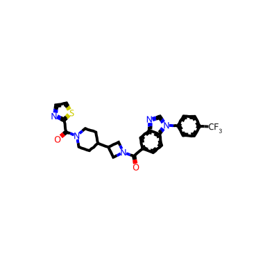 O=C(c1ccc2c(c1)ncn2-c1ccc(C(F)(F)F)cc1)N1CC(C2CCN(C(=O)c3nccs3)CC2)C1